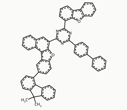 CC1(C)c2ccccc2-c2c(-c3ccc4oc5c(-c6nc(-c7ccc(-c8ccccc8)cc7)nc(-c7cccc8c7oc7ccccc78)n6)cc6ccccc6c5c4c3)cccc21